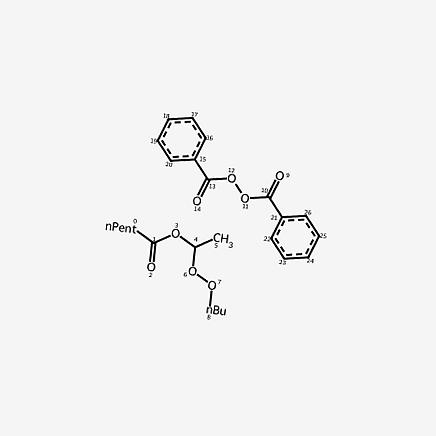 CCCCCC(=O)OC(C)OOCCCC.O=C(OOC(=O)c1ccccc1)c1ccccc1